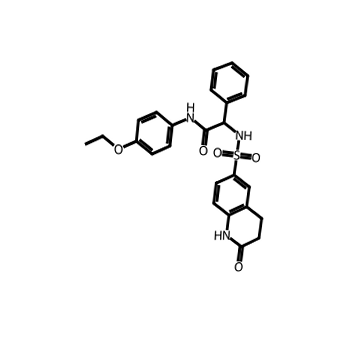 CCOc1ccc(NC(=O)C(NS(=O)(=O)c2ccc3c(c2)CCC(=O)N3)c2ccccc2)cc1